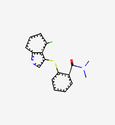 CN(C)C(=O)c1ccccc1Sc1c[nH]c2cccc(Cl)c12